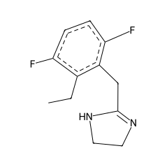 CCc1c(F)ccc(F)c1CC1=NCCN1